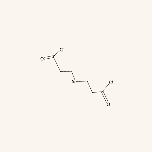 O=C(Cl)CC[Se]CCC(=O)Cl